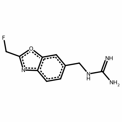 N=C(N)NCc1ccc2nc(CF)oc2c1